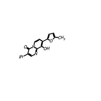 Cc1ccc(-c2ccn3c(=O)c(C(C)C)cnc3c2O)o1